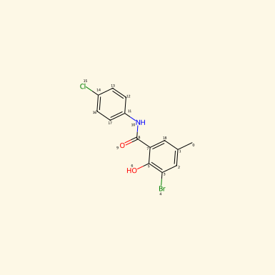 Cc1cc(Br)c(O)c(C(=O)Nc2ccc(Cl)cc2)c1